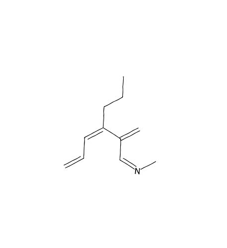 C=C/C=C(/CCC)C(=C)/C=N\C